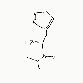 CC(C)C(=O)[C@H](N)CC1=CCC=N1